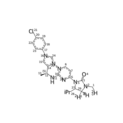 [2H]CN1C(=O)N(c2ccnc(N[C@@H](C)c3cn(-c4ccc(Cl)cc4)cn3)n2)C(C(C)C)C1([2H])[2H]